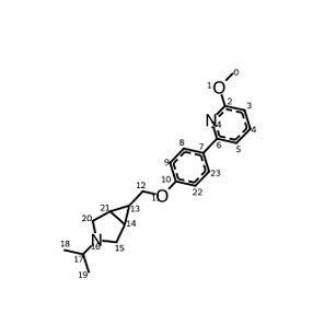 COc1cccc(-c2ccc(OCC3C4CN(C(C)C)CC34)cc2)n1